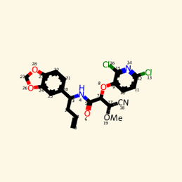 C=CCC(NC(=O)C(Oc1ccc(Cl)nc1Cl)C(C#N)OC)c1ccc2c(c1)OCO2